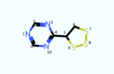 c1ncnc(C2CSSS2)n1